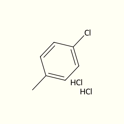 Cc1ccc(Cl)cc1.Cl.Cl